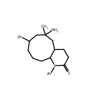 CC(C)C1CCCC2C(CCC(=S)N2C(C)C)CC(C)(N)C1